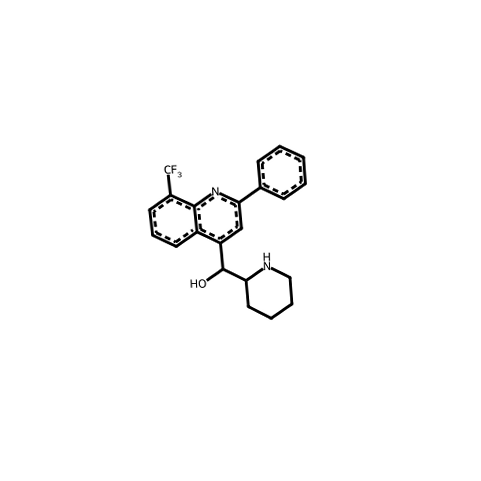 OC(c1cc(-c2ccccc2)nc2c(C(F)(F)F)cccc12)C1CCCCN1